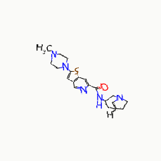 CN1CCN(c2cc3cnc(C(=O)N[C@@H]4C[C@H]5CCN(C5)C4)cc3s2)CC1